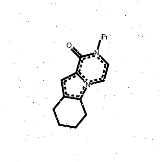 CC(C)n1ccn2c3c(cc2c1=O)CCCC3